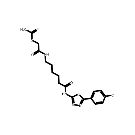 CC(=O)SCC(=O)NCCCCCC(=O)Nc1nnc(-c2ccc(Cl)cc2)s1